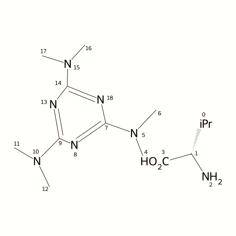 CC(C)[C@H](N)C(=O)O.CN(C)c1nc(N(C)C)nc(N(C)C)n1